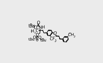 Cc1cccc(CCCOc2ccc(CCC(C)(COP(=O)(OC(C)(C)C)OC(C)(C)C)NC(=O)OC(C)(C)C)cc2C(F)(F)F)c1